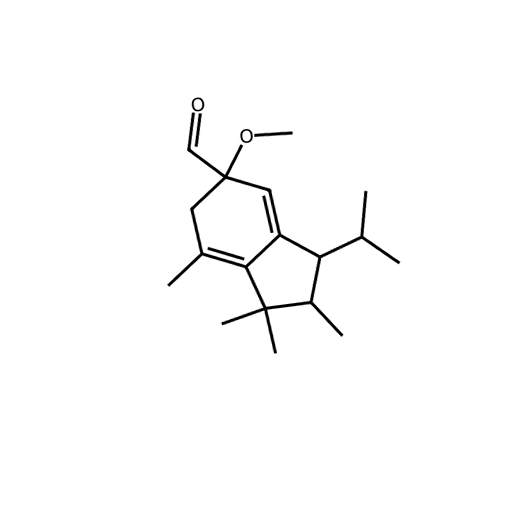 COC1(C=O)C=C2C(=C(C)C1)C(C)(C)C(C)C2C(C)C